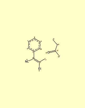 CCC(C)=C(C#N)c1ccccc1.CCC(C)=O